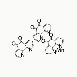 O=C1C(=O)c2cccnc2-c2ncccc21.O=C1C(=O)c2cccnc2-c2ncccc21.O=C1C(=O)c2cccnc2-c2ncccc21.[Mn]